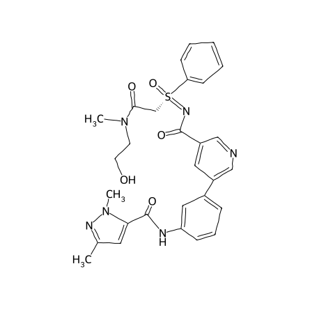 Cc1cc(C(=O)Nc2cccc(-c3cncc(C(=O)N=[S@](=O)(CC(=O)N(C)CCO)c4ccccc4)c3)c2)n(C)n1